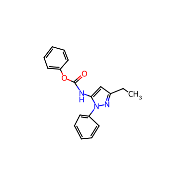 CCc1cc(NC(=O)Oc2ccccc2)n(-c2ccccc2)n1